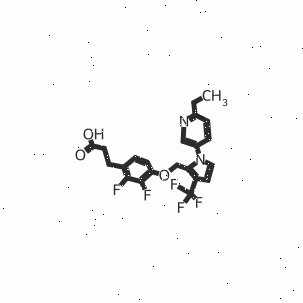 CCc1ccc(-n2ccc(C(F)(F)F)c2COc2ccc(CCC(=O)O)c(F)c2F)cn1